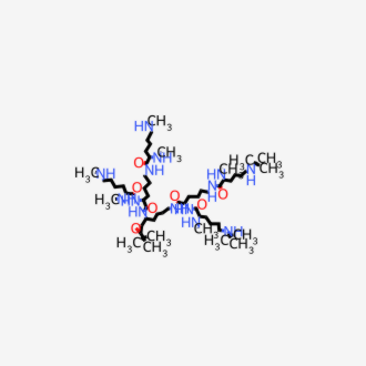 CNCCCCC(NC)C(=O)NCCCCC(NC(=O)C(CCCCNC)NC)C(=O)NC(CCCCNC(=O)C(CCCCNC(=O)C(CCCCNC(C)(C)C)NC)NC(=O)C(CCCCNC(C)(C)C)NC)C1OC1C(C)(C)C